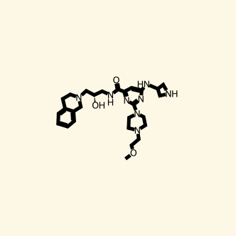 COCCN1CCN(c2nc(NC3CNC3)cc(C(=O)NC[C@H](O)CN3CCc4ccccc4C3)n2)CC1